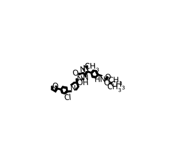 Cn1nc2c(=O)n(CC3(O)CCN(Cc4ccc(-c5ccco5)cc4Cl)CC3)cnc2c1-c1ccc(CNC(=O)OC(C)(C)C)cc1